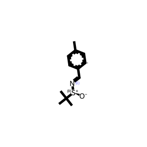 Cc1c[c]c(/C=N/[S@@+]([O-])C(C)(C)C)cc1